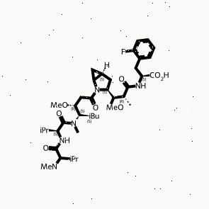 CC[C@H](C)[C@@H]([C@@H](CC(=O)N1C2C[C@H]2C[C@H]1C(OC)[C@@H](C)C(=O)N[C@@H](Cc1ccccc1F)C(=O)O)OC)N(C)C(=O)[C@@H](NC(=O)C(NC)C(C)C)C(C)C